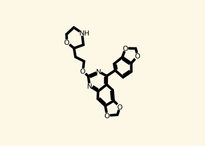 c1cc2c(cc1-c1nc(OCCC3CNCCO3)nc3cc4c(cc13)OCO4)OCO2